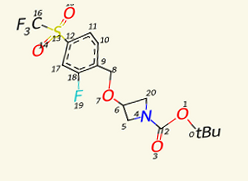 CC(C)(C)OC(=O)N1CC(OCc2ccc(S(=O)(=O)C(F)(F)F)cc2F)C1